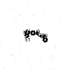 CCc1cc2c(N3CCN(C(=O)COCn4nnc5ccccc54)CC3)ncnc2s1